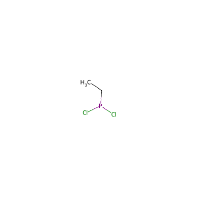 CCP(Cl)Cl